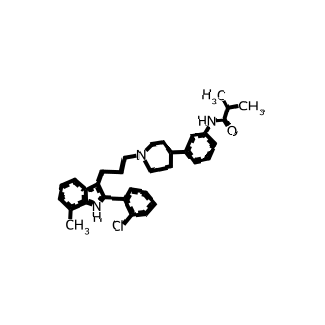 Cc1cccc2c(CCCN3CCC(c4cccc(NC(=O)C(C)C)c4)CC3)c(-c3ccccc3Cl)[nH]c12